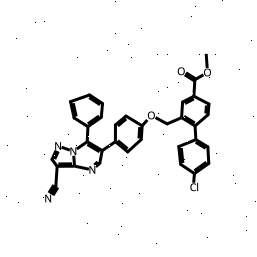 COC(=O)c1ccc(-c2ccc(Cl)cc2)c(COc2ccc(-c3cnc4c(C#N)cnn4c3-c3ccccc3)cc2)c1